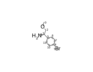 COC[C@H](N)c1ccc(Br)cc1